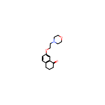 O=C1CCCc2ccc(OCCN3CCOCC3)cc21